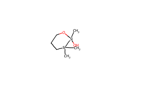 C[Si]1(C)CCCO[Si]1(C)O